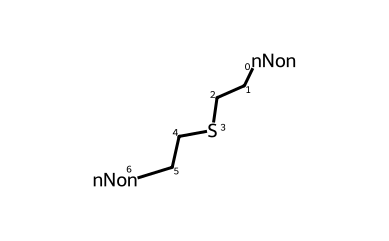 CCCCCCCCCCCSCCCCCCCCCCC